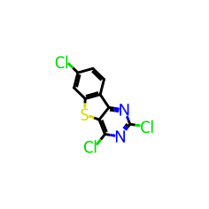 Clc1ccc2c(c1)sc1c(Cl)nc(Cl)nc12